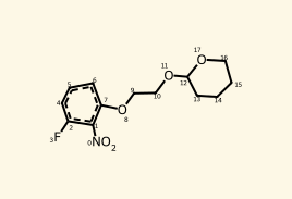 O=[N+]([O-])c1c(F)cccc1OCCOC1CCCCO1